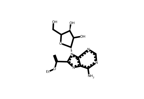 C=C(OCC)c1nc2c(N)ncnc2n1[C@@H]1OC(CO)[C@@H](O)C1O